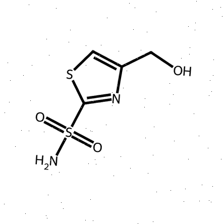 NS(=O)(=O)c1nc(CO)cs1